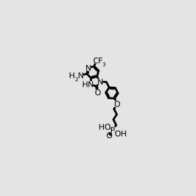 Nc1nc(C(F)(F)F)cc2c1[nH]c(=O)n2Cc1ccc(OCCCCP(=O)(O)O)cc1